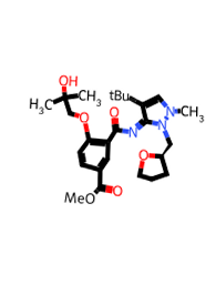 COC(=O)c1ccc(OCC(C)(C)O)c(C(=O)N=c2c(C(C)(C)C)cn(C)n2C[C@H]2CCCO2)c1